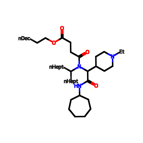 CCCCCCCCCCCCOC(=O)CCC(=O)N(C(CCCCCCC)CCCCCCC)C(C(=O)NC1CCCCCC1)C1CCN(CC)CC1